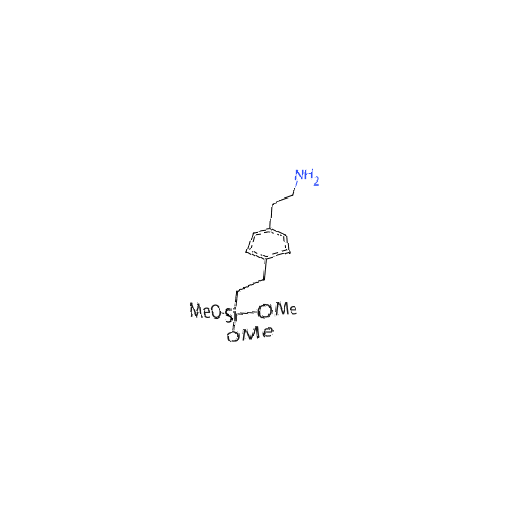 CO[Si](CCc1ccc(CCN)cc1)(OC)OC